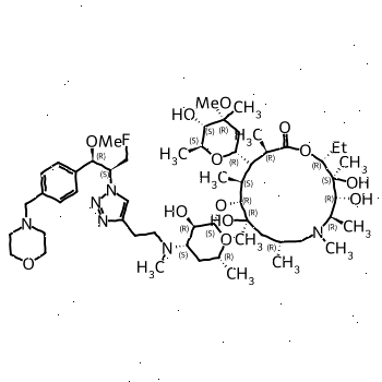 CC[C@H]1OC(=O)[C@H](C)C([C@H]2C[C@@](C)(OC)[C@@H](O)[C@H](C)O2)[C@H](C)[C@@H](O[C@@H]2O[C@H](C)C[C@H](N(C)CCc3cn([C@H](CF)[C@H](OC)c4ccc(CN5CCOCC5)cc4)nn3)[C@H]2O)[C@](C)(O)C[C@@H](C)CN(C)[C@H](C)[C@@H](O)[C@]1(C)O